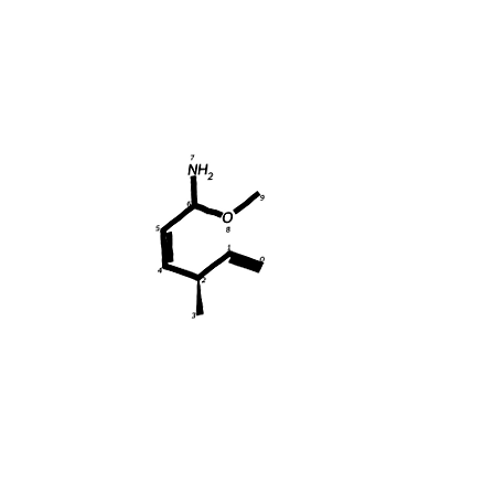 C=C[C@@H](C)/C=C\C(N)OC